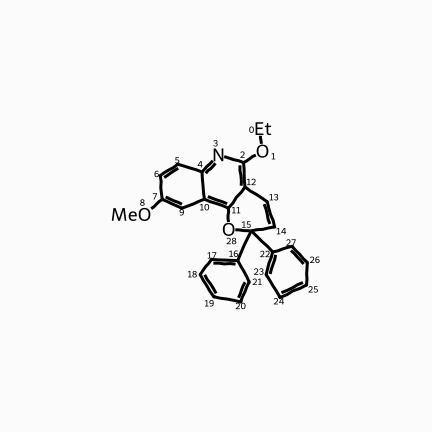 CCOc1nc2ccc(OC)cc2c2c1C=CC(c1ccccc1)(c1ccccc1)O2